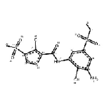 CCS(=O)(=O)c1cc(N)c(O)c(NC(=O)c2scc(S(C)(=O)=O)c2Cl)c1